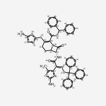 Cc1sc(N)nc1C(=NOC(c1ccccc1)(c1ccccc1)c1ccccc1)C(=O)N[C@H]1C(=O)N2C(C(=O)OC(c3ccccc3)c3ccccc3)=C(Sc3nnc(N)s3)CCC12